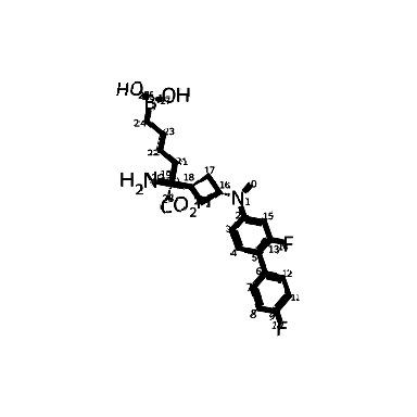 CN(c1ccc(-c2ccc(F)cc2)c(F)c1)[C@H]1C[C@H]([C@@](N)(CCCCB(O)O)C(=O)O)C1